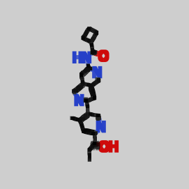 CC[C@H](O)c1cc(C)c(-c2cc3cnc(NC(=O)C4CCC4)cc3cn2)cn1